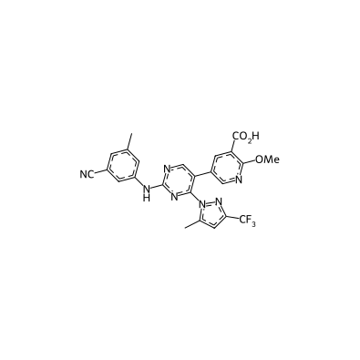 COc1ncc(-c2cnc(Nc3cc(C)cc(C#N)c3)nc2-n2nc(C(F)(F)F)cc2C)cc1C(=O)O